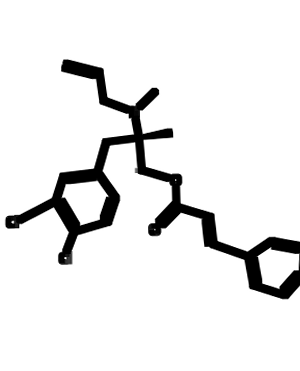 C=CCN(C)[C@](C)([CH]OC(=O)C=Cc1ccccc1)Cc1ccc(Cl)c(Cl)c1